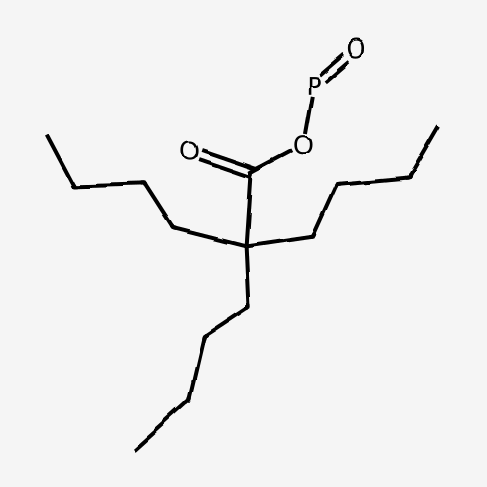 CCCCC(CCCC)(CCCC)C(=O)OP=O